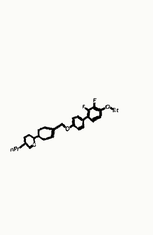 CCCC1CCC(C2CCC(COc3ccc(-c4ccc(OCC)c(F)c4F)cc3)CC2)OC1